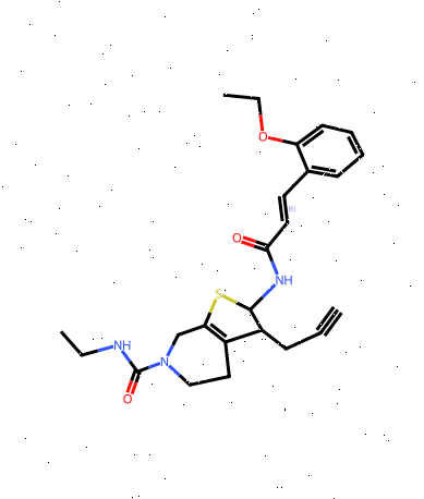 C#CCC1C2=C(CN(C(=O)NCC)CC2)SC1NC(=O)/C=C/c1ccccc1OCC